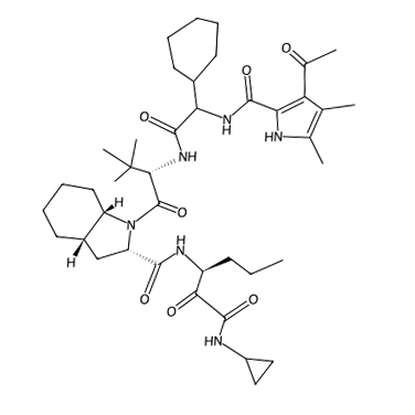 CCC[C@H](NC(=O)[C@@H]1C[C@@H]2CCCC[C@@H]2N1C(=O)[C@@H](NC(=O)C(NC(=O)c1[nH]c(C)c(C)c1C(C)=O)C1CCCCC1)C(C)(C)C)C(=O)C(=O)NC1CC1